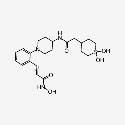 O=C(/C=C/c1ccccc1N1CCC(NC(=O)CC2CCS(O)(O)CC2)CC1)NO